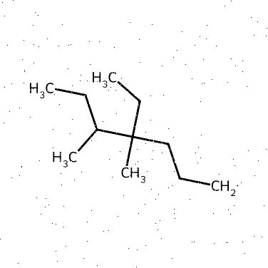 [CH2]CCC(C)(CC)C(C)CC